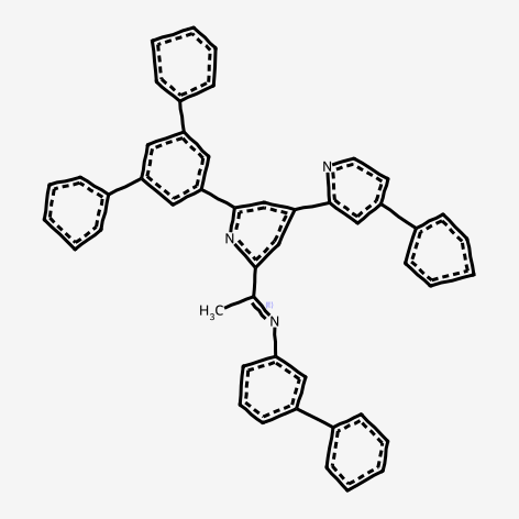 C/C(=N\c1cccc(-c2ccccc2)c1)c1cc(-c2cc(-c3ccccc3)ccn2)cc(-c2cc(-c3ccccc3)cc(-c3ccccc3)c2)n1